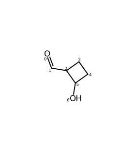 O=CC1CCC1O